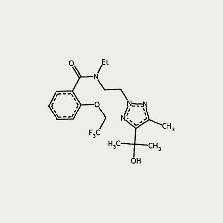 CCN(CCn1nc(C)c(C(C)(C)O)n1)C(=O)c1ccccc1OCC(F)(F)F